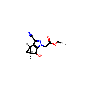 CCOC(=O)Cn1nc(C#N)c2c1C(O)[C@@H]1C[C@H]21